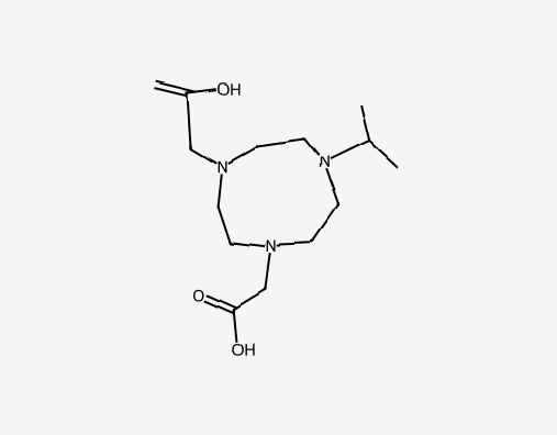 C=C(O)CN1CCN(CC(=O)O)CCN(C(C)C)CC1